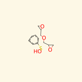 C(OCC1CO1)C1CO1.OSc1ccccc1